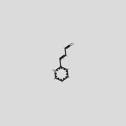 O=[C]/C=C/c1ccccn1